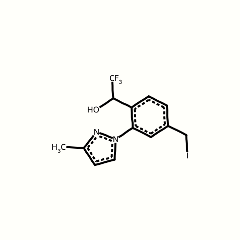 Cc1ccn(-c2cc(CI)ccc2C(O)C(F)(F)F)n1